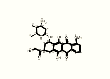 COc1cccc2c1C(=O)c1c(O)c3c(c(O)c1C2=O)C[C@@H](C(=O)CO)C[C@@H]3O[C@H]1C[C@H](N)[C@H](C)[C@H](C)O1